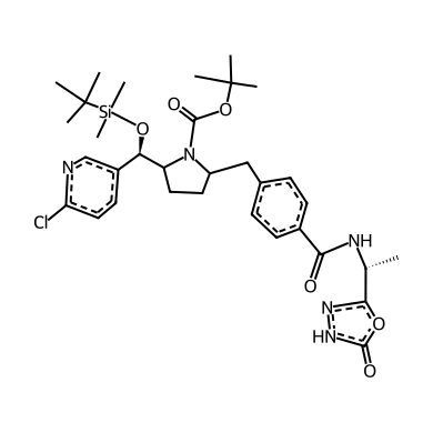 C[C@@H](NC(=O)c1ccc(CC2CCC([C@H](O[Si](C)(C)C(C)(C)C)c3ccc(Cl)nc3)N2C(=O)OC(C)(C)C)cc1)c1n[nH]c(=O)o1